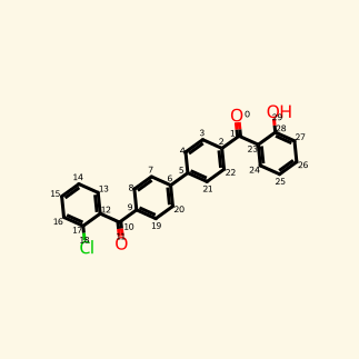 O=C(c1ccc(-c2ccc(C(=O)c3ccccc3Cl)cc2)cc1)c1ccccc1O